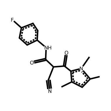 Cc1cc(C)n(C)c1C(=O)C(C#N)C(=O)Nc1ccc(F)cc1